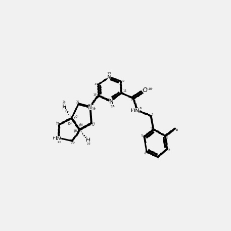 Cc1ccccc1CNC(=O)c1cncc(N2C[C@H]3CNC[C@H]3C2)n1